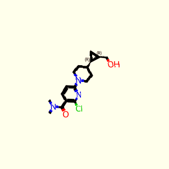 CN(C)C(=O)c1ccc(N2CCC([C@H]3C[C@H]3CO)CC2)nc1Cl